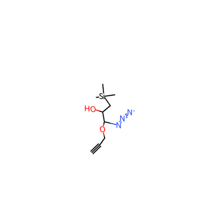 C#CCOC(N=[N+]=[N-])C(O)C[Si](C)(C)C